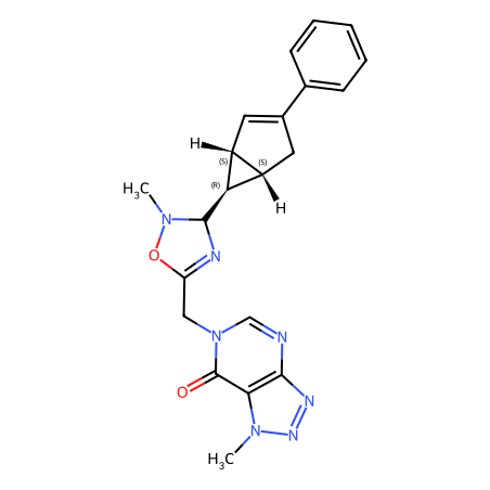 CN1OC(Cn2cnc3nnn(C)c3c2=O)=NC1[C@H]1[C@@H]2C=C(c3ccccc3)C[C@@H]21